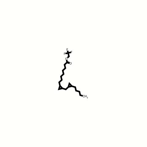 CCCCCC1CC1CC1CC1CCCCCCCC(=O)OCC(F)(F)F